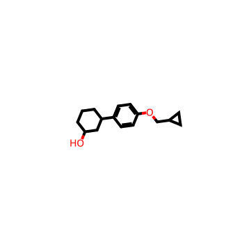 OC1CCCC(c2ccc(OCC3CC3)cc2)C1